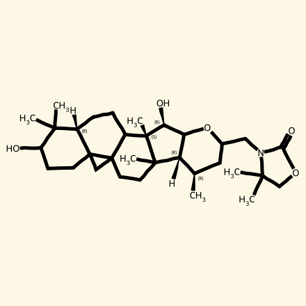 C[C@@H]1CC(CN2C(=O)OCC2(C)C)OC2[C@H]1C1(C)CCC34CC35CCC(O)C(C)(C)[C@@H]5CCC4[C@]1(C)[C@H]2O